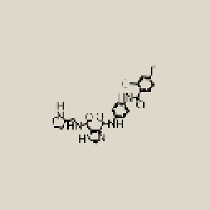 O=C(Nc1ccc(NC(=O)c2nc[nH]c2C(=O)NCC2CCCN2)cc1)c1ccc(F)cc1Cl